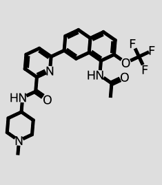 CC(=O)Nc1c(OC(F)(F)F)ccc2ccc(-c3cccc(C(=O)NC4CCN(C)CC4)n3)cc12